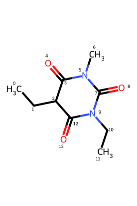 CCC1C(=O)N(C)C(=O)N(CC)C1=O